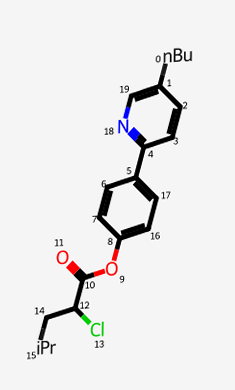 CCCCc1ccc(-c2ccc(OC(=O)C(Cl)CC(C)C)cc2)nc1